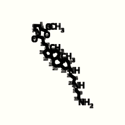 COC(=O)C1CCCN1C(=O)CCCC1CCC2C3CCC4CC(NCCCNCCCN)CCC4(C)C3CCC12C